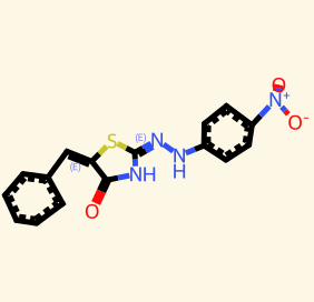 O=C1N/C(=N\Nc2ccc([N+](=O)[O-])cc2)S/C1=C/c1ccccc1